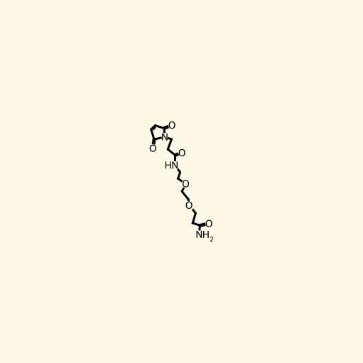 NC(=O)CCOCCOCCNC(=O)CCN1C(=O)C=CC1=O